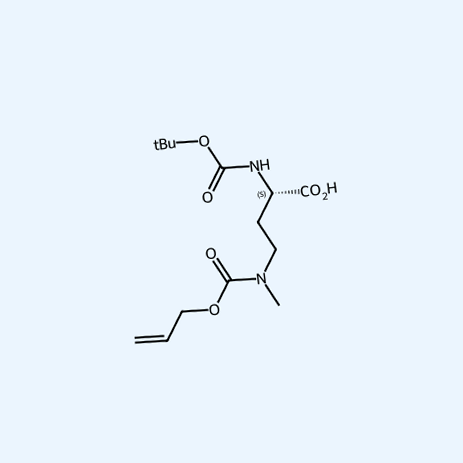 C=CCOC(=O)N(C)CC[C@H](NC(=O)OC(C)(C)C)C(=O)O